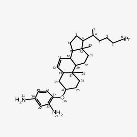 CC(C)CCCC(C)C1CCC2C3C=CC4CC(Oc5ccc(N)cc5N)CCC4(C)C3CCC12C